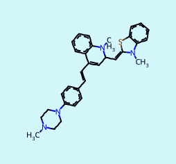 CN1CCN(c2ccc(/C=C/C3=CC(/C=C4\Sc5ccccc5N4C)N(C)c4ccccc43)cc2)CC1